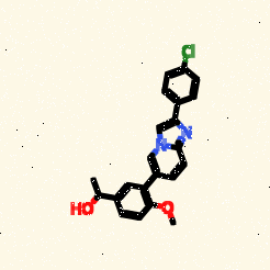 COc1ccc(C(C)O)cc1-c1ccc2nc(-c3ccc(Cl)cc3)cn2c1